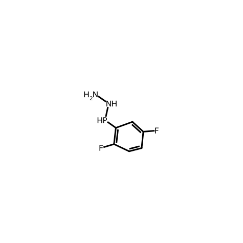 NNPc1cc(F)ccc1F